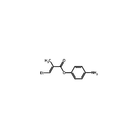 CCC=C(C)C(=O)Oc1ccc(N)cc1